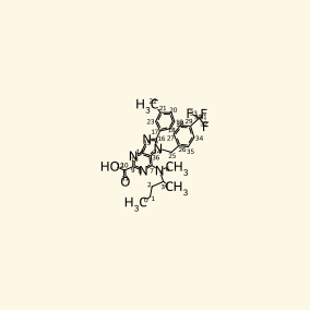 CCCC(C)N(C)c1nc(C(=O)O)nc2nc(-c3cccc(C)c3)n(Cc3ccc(C(F)(F)F)cc3)c12